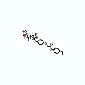 C=Cc1ccc(OC(=O)CSc2ccc(OS(=O)(=O)C(F)(F)C(F)(F)C(F)(F)S(=O)(=O)O)cc2)cc1